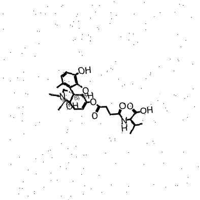 Cc1ccc(O)c2c1[C@]13CCN(C)[C@H](C)[C@]1(O)CC=C(OC(=O)CCC(=O)NC(C(=O)O)C(C)C)[C@@H]3O2